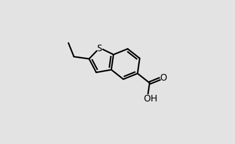 CCc1cc2cc(C(=O)O)ccc2s1